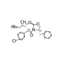 C[C](C[C@H](C(=O)N1C(=O)OC[C@@H]1Cc1ccccc1)c1ccc(Cl)cc1)CC(C)(C)C